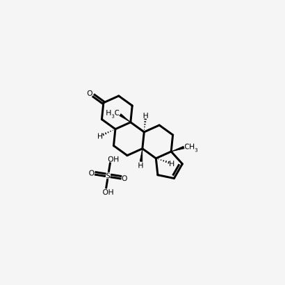 C[C@]12CCC(=O)C[C@@H]1CC[C@@H]1[C@@H]2CC[C@]2(C)C=CC[C@@H]12.O=S(=O)(O)O